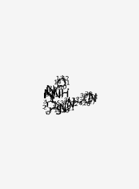 Cc1ccc(-c2nnc(-c3ccccc3)[nH]2)cc1SN1CCN(CCc2ccncc2)CC1